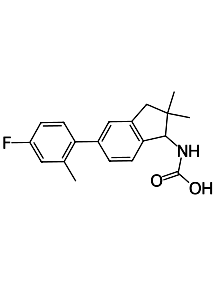 Cc1cc(F)ccc1-c1ccc2c(c1)CC(C)(C)C2NC(=O)O